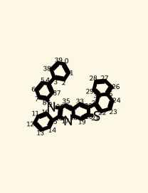 c1ccc(-c2cccc(-n3c4ccccc4c4nc5cc6sc7ccc8ccccc8c7c6cc5cc43)c2)cc1